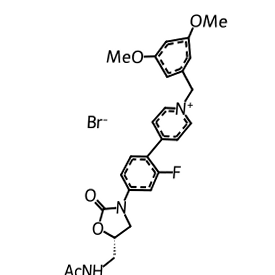 COc1cc(C[n+]2ccc(-c3ccc(N4C[C@H](CNC(C)=O)OC4=O)cc3F)cc2)cc(OC)c1.[Br-]